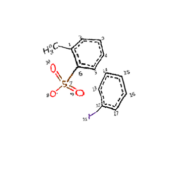 Cc1ccccc1S([O])(=O)=O.Ic1ccccc1